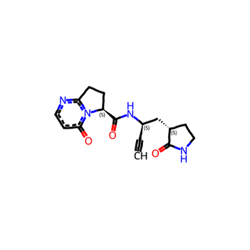 C#C[C@H](C[C@@H]1CCNC1=O)NC(=O)[C@@H]1CCc2nccc(=O)n21